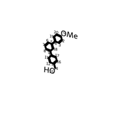 COc1ccc(-c2cccc(-c3ccc(CO)cc3)c2)cc1